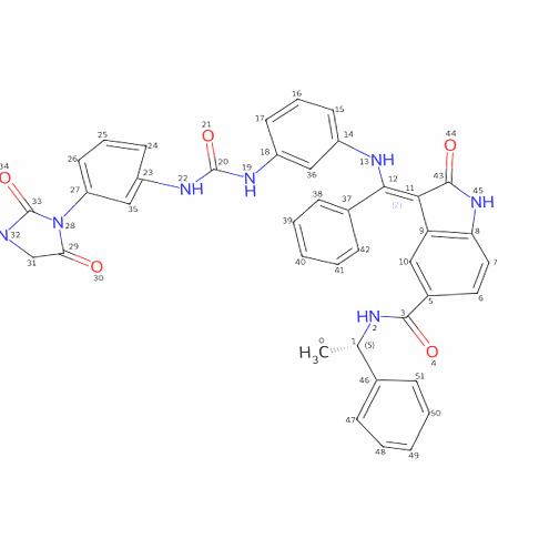 C[C@H](NC(=O)c1ccc2c(c1)/C(=C(/Nc1cccc(NC(=O)Nc3cccc(N4C(=O)CNC4=O)c3)c1)c1ccccc1)C(=O)N2)c1ccccc1